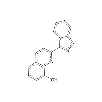 Oc1cccc2ccc(-c3ncc4ccccn34)nc12